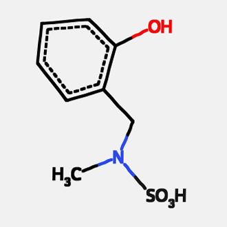 CN(Cc1ccccc1O)S(=O)(=O)O